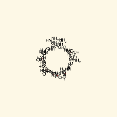 CCCC[C@H]1C(=O)N(C)[C@@H](C)C(=O)N[C@@H](CCCNC(=N)N)C(=O)NC(C(=O)NCC(N)=O)CSCC(=O)N[C@@H](Cc2ccc(O)cc2)C(=O)N(C)[C@@H](C)C(=O)N[C@@H](CC(N)=O)C(=O)N2CCC[C@H]2C(=O)N[C@@H](Cc2cnc[nH]2)C(=O)N[C@@H](CC(C)C)C(=O)N2CCC[C@H]2C(=O)N[C@@H](Cc2c[nH]c3ccccc23)C(=O)N[C@@H](CO)C(=O)N[C@@H](Cc2csc3ccccc23)C(=O)N1C